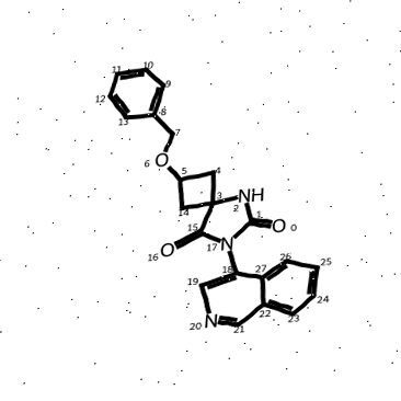 O=C1NC2(CC(OCc3ccccc3)C2)C(=O)N1c1cncc2ccccc12